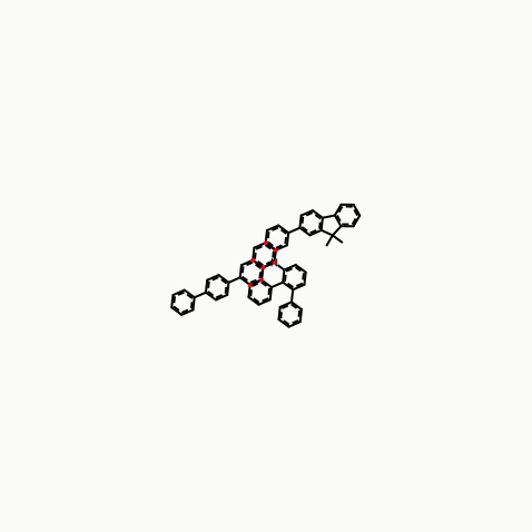 CC1(C)c2ccccc2-c2ccc(-c3cccc(N(c4ccc(-c5ccc(-c6ccccc6)cc5)cc4)c4cccc(-c5ccccc5)c4-c4ccccc4-c4ccccc4)c3)cc21